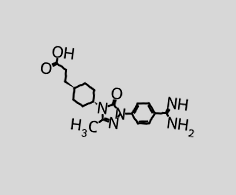 Cc1nn(-c2ccc(C(=N)N)cc2)c(=O)n1[C@H]1CC[C@H](CCC(=O)O)CC1